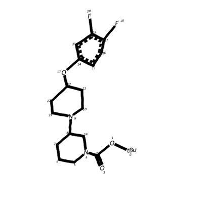 CC(C)(C)OC(=O)N1CCCC(N2CCC(Oc3ccc(F)c(F)c3)CC2)C1